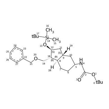 CC(C)(C)OC(=O)NC1CC[C@@H]2[C@@H](C1)C[C@H](O[Si](C)(C)C(C)(C)C)[C@H]2COCc1ccccc1